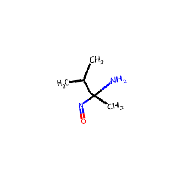 CC(C)C(C)(N)N=O